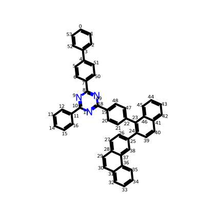 c1ccc(-c2ccc(-c3nc(-c4ccccc4)nc(-c4ccc(-c5c(-c6ccc7ccc8ccccc8c7c6)ccc6ccccc56)cc4)n3)cc2)cc1